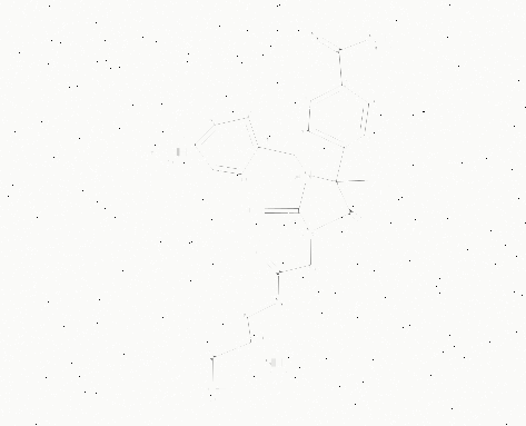 CC1(c2ccc(C(=N)N)cc2)C(=O)N(CC(=O)NC[C@H](N)C(=O)O)C(=O)N1Cc1ccccc1.Cl.Cl